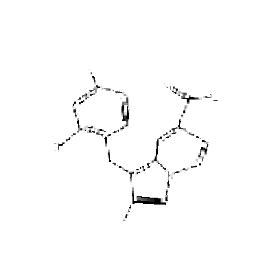 Cc1cn2ccc(C(=O)O)cc2c1Cc1ccc(Cl)cc1Cl